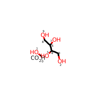 O=C(O)O.OCC(O)C(O)CO